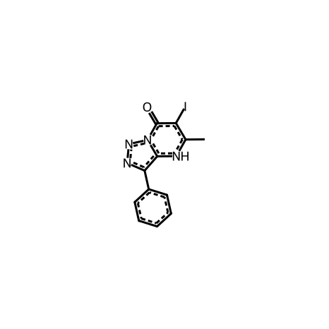 Cc1[nH]c2c(-c3ccccc3)nnn2c(=O)c1I